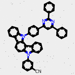 N#Cc1cccc(-n2c3ccccc3c3c2ccc2c4ccccc4n(-c4ccc(-c5cc(-c6ccccc6)nc(-c6ccccc6)n5)cc4)c23)c1